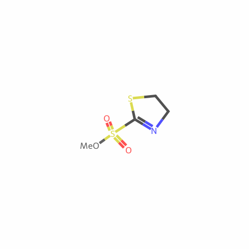 COS(=O)(=O)C1=NCCS1